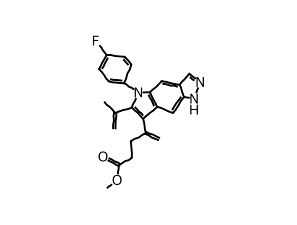 C=C(CCC(=O)OC)c1c(C(=C)C)n(-c2ccc(F)cc2)c2cc3cn[nH]c3cc12